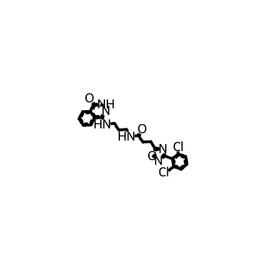 O=C(CCc1nc(-c2c(Cl)cccc2Cl)no1)NCCCNc1n[nH]c(=O)c2ccccc12